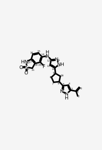 C=C(C)c1cc(C2CCC(c3cc(Nc4ccc5c(c4F)CS(=O)(=O)N5)n[nH]3)C2)n[nH]1